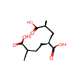 CC(CC[C@@H](CC(C)C(=O)O)C(=O)O)C(=O)O